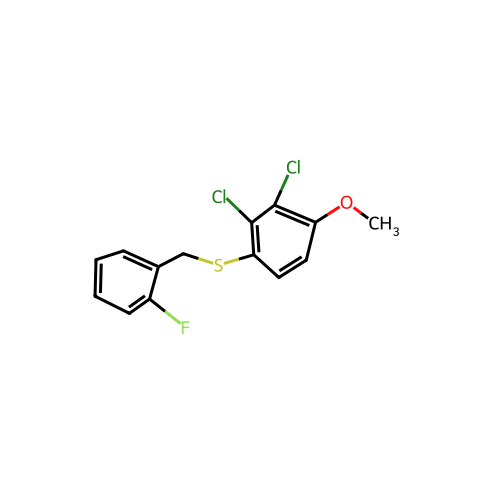 COc1ccc(SCc2ccccc2F)c(Cl)c1Cl